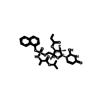 CCC(=O)O[C@H]1[C@@](C)(F)[C@H](N2C=CC(=O)NC2O)O[C@]1(F)COP(=O)(NC(C)C(=O)OC(C)C)Oc1cccc2ccccc12